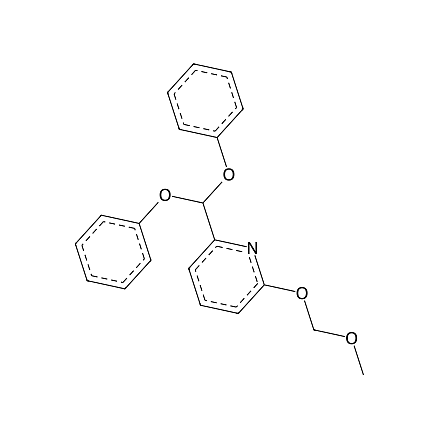 COCOc1cccc(C(Oc2ccccc2)Oc2ccccc2)n1